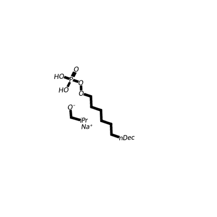 CC(C)C[O-].CCCCCCCCCCCCCCCCOOP(=O)(O)O.[Na+]